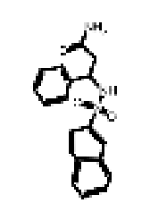 NC(=O)CC(NS(=O)(=O)c1ccc2ccccc2c1)c1ccccc1